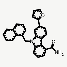 NC(=O)c1cccc2c1c1[c]cc(-c3ccco3)cc1n2Cc1cccc2ccccc12